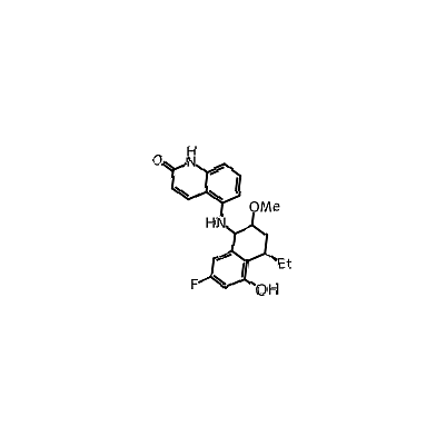 CC[C@@H]1CC(OC)C(Nc2cccc3[nH]c(=O)ccc23)c2cc(F)cc(O)c21